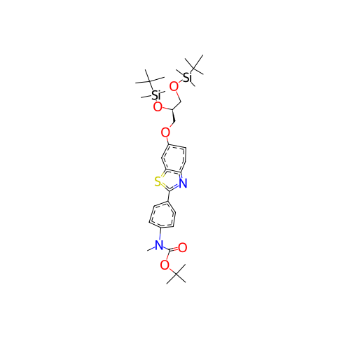 CN(C(=O)OC(C)(C)C)c1ccc(-c2nc3ccc(OC[C@H](CO[Si](C)(C)C(C)(C)C)O[Si](C)(C)C(C)(C)C)cc3s2)cc1